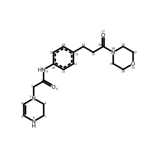 O=C(CN1C=CNCC1)Nc1ccc(CCC(=O)N2CCOCC2)cc1